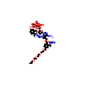 CCCOCCOCCOCCOCc1ccc(C(=O)OCc2c[nH]c3c2c(N)nc[n+]3[C@H]2CC(OC(=O)c3ccccc3C(C)N=[N+]=[N-])[C@@H](COP(=O)(O)OP(=O)(O)OP(=O)(O)O)O2)c(C(C)N=[N+]=[N-])c1